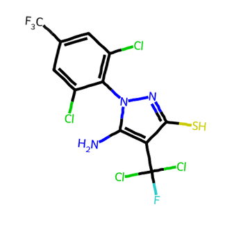 Nc1c(C(F)(Cl)Cl)c(S)nn1-c1c(Cl)cc(C(F)(F)F)cc1Cl